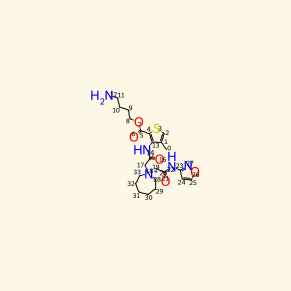 Cc1csc(C(=O)OCCCCN)c1NC(=O)C[N+]1(CC(=O)Nc2ccon2)CCCCCC1